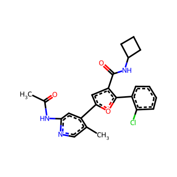 CC(=O)Nc1cc(-c2cc(C(=O)NC3CCC3)c(-c3ccccc3Cl)o2)c(C)cn1